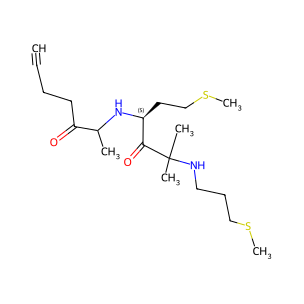 C#CCCC(=O)C(C)N[C@@H](CCSC)C(=O)C(C)(C)NCCCSC